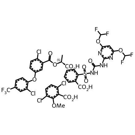 COc1c(Cl)ccc(Cl)c1C(=O)O.C[C@H](OC(=O)c1cc(Oc2ccc(C(F)(F)F)cc2Cl)ccc1Cl)C(=O)O.O=C(Nc1nc(OC(F)F)cc(OC(F)F)n1)NS(=O)(=O)c1ccccc1C(=O)O